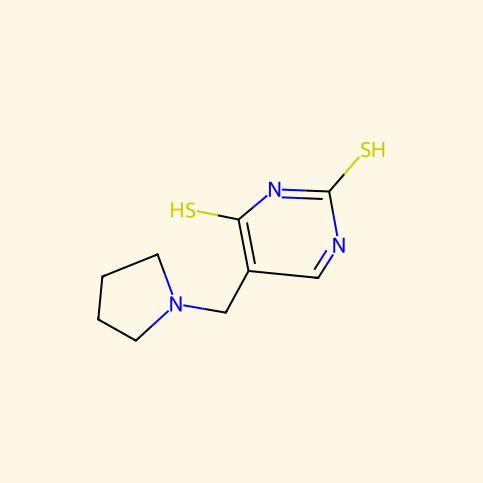 Sc1ncc(CN2CCCC2)c(S)n1